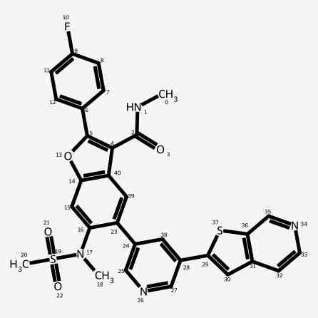 CNC(=O)c1c(-c2ccc(F)cc2)oc2cc(N(C)S(C)(=O)=O)c(-c3cncc(-c4cc5ccncc5s4)c3)cc12